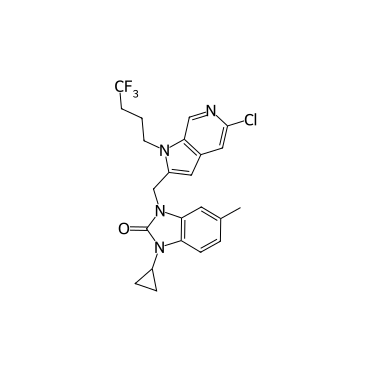 Cc1ccc2c(c1)n(Cc1cc3cc(Cl)ncc3n1CCCC(F)(F)F)c(=O)n2C1CC1